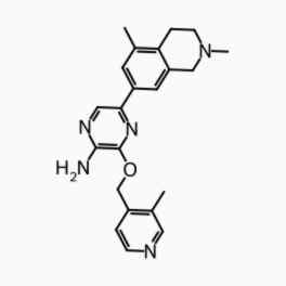 Cc1cnccc1COc1nc(-c2cc(C)c3c(c2)CN(C)CC3)cnc1N